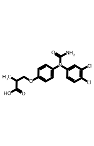 CC(COc1ccc(N(C(N)=O)c2ccc(Cl)c(Cl)c2)cc1)C(=O)O